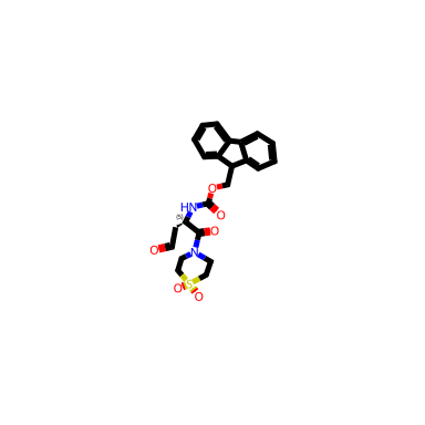 O=CC[C@H](NC(=O)OCC1c2ccccc2-c2ccccc21)C(=O)N1CCS(=O)(=O)CC1